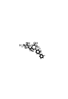 CC(c1ccc(-c2ccccc2)c(F)c1)c1onc(CNC(=N)N(C)C)c1CC(=O)O